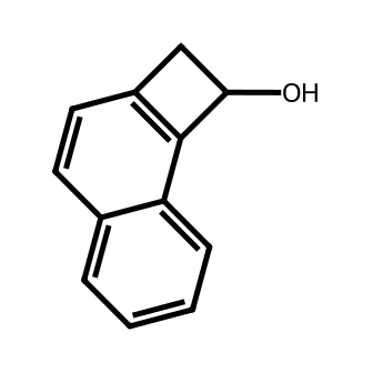 OC1Cc2ccc3ccccc3c21